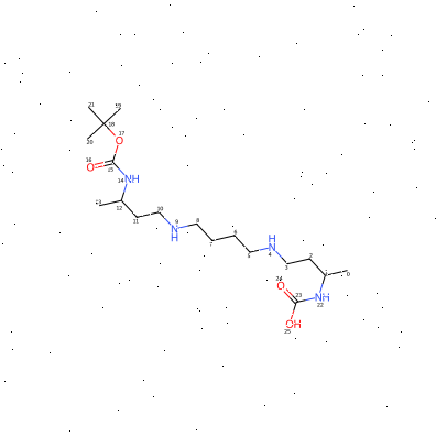 CC(CCNCCCCNCCC(C)NC(=O)OC(C)(C)C)NC(=O)O